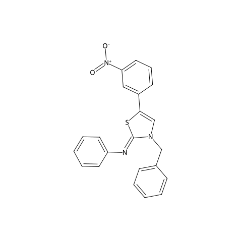 O=[N+]([O-])c1cccc(-c2cn(Cc3ccccc3)c(=Nc3ccccc3)s2)c1